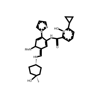 CNC1C=C(n2cccn2)C(NC(=O)c2cccc(C3CC3)[n+]2O)=C/C1=C/N[C@H]1CC[C@](C)(O)CC1